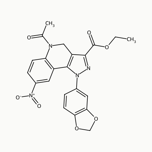 CCOC(=O)c1nn(-c2ccc3c(c2)OCO3)c2c1CN(C(C)=O)c1ccc([N+](=O)[O-])cc1-2